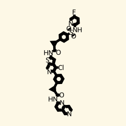 O=C(Nc1ccc2cnccc2n1)C1CC1c1cccc(-c2ncc3sc(NC(=O)C4CC4c4ccc(S(=O)(=O)Nc5ccc(F)cn5)cc4)cc3c2Cl)c1